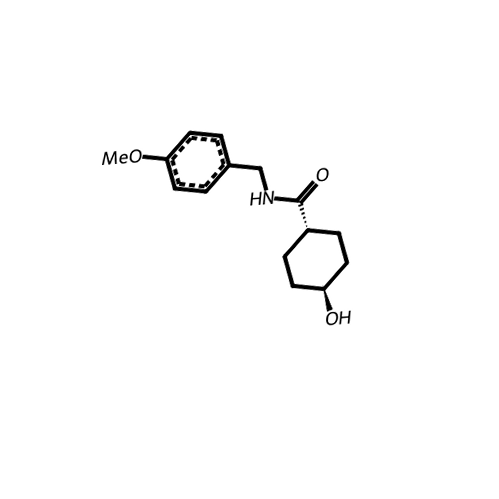 COc1ccc(CNC(=O)[C@H]2CC[C@H](O)CC2)cc1